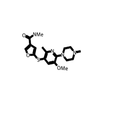 CNC(=O)c1coc(Sc2cc(OC)c(N3CCN(C)CC3)nc2C)c1